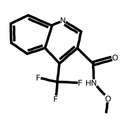 CONC(=O)c1cnc2ccccc2c1C(F)(F)F